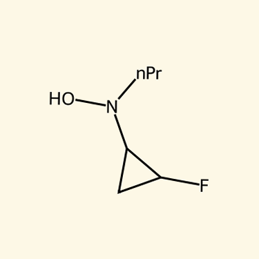 CCCN(O)C1CC1F